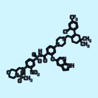 CC1(C)CCC(CN2CCN(c3ccc(C(=O)NS(=O)(=O)c4ccc(NCC5COCCN5S(C)(=O)=O)c([N+](=O)[O-])c4)c(Oc4cnc5[nH]ccc5c4)c3)CC2)=C(c2ccc(C(F)(F)F)cc2Cl)C1